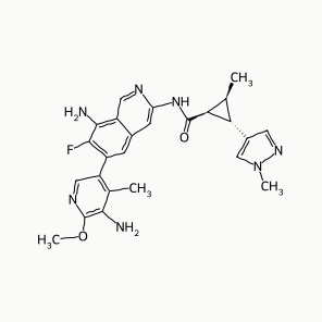 COc1ncc(-c2cc3cc(NC(=O)[C@H]4[C@@H](C)[C@@H]4c4cnn(C)c4)ncc3c(N)c2F)c(C)c1N